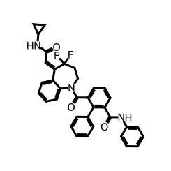 O=C(C=C1c2ccccc2N(C(=O)c2cccc(C(=O)Nc3ccccc3)c2-c2ccccc2)CCC1(F)F)NC1CC1